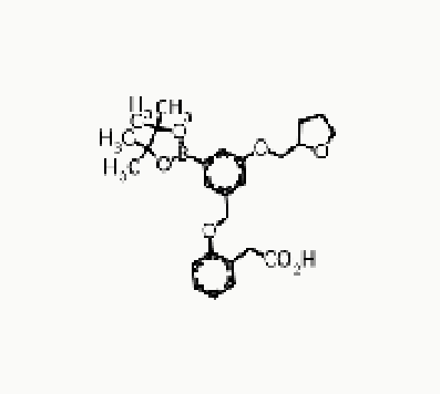 CC1(C)OB(c2cc(COc3ccccc3CC(=O)O)cc(OCC3CCCO3)c2)OC1(C)C